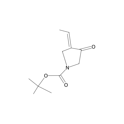 C/C=C1\CN(C(=O)OC(C)(C)C)CC1=O